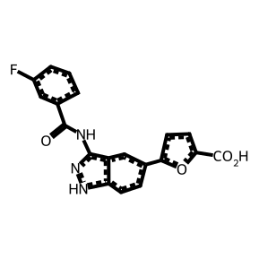 O=C(Nc1n[nH]c2ccc(-c3ccc(C(=O)O)o3)cc12)c1cccc(F)c1